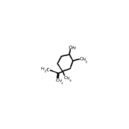 C=C(C)C1(C)CCC(O)C(C)C1